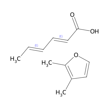 C/C=C/C=C/C(=O)O.Cc1ccoc1C